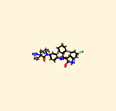 CN(C(=O)C(C)(C)N)c1ccc(N/C(=C2\C(=O)Nc3cc(F)ccc32)c2ccccc2)cc1